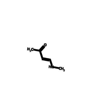 CNC=CC(C)=O